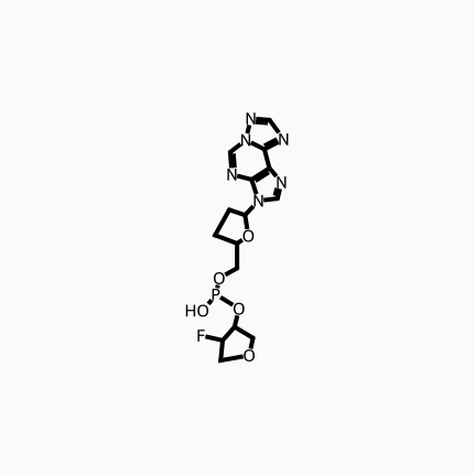 OP(OCC1CCC(n2cnc3c2ncn2ncnc32)O1)OC1COCC1F